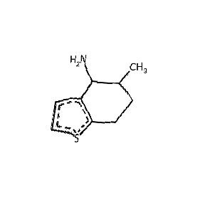 CC1CCc2sccc2C1N